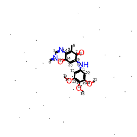 C=N/C=N\C1=C(C)C(=O)C(Nc2cc(OC)c(OC)c(OC)c2)=CC1=O